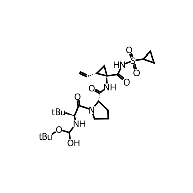 C=C[C@@H]1C[C@]1(NC(=O)[C@@H]1CCCN1C(=O)[C@@H](NC(O)OC(C)(C)C)C(C)(C)C)C(=O)NS(=O)(=O)C1CC1